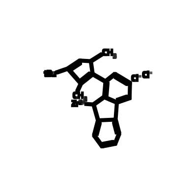 CC1=C(c2cccc3c2[CH]([Zr+2])c2ccccc2-3)C(C)C=C1C(C)(C)C.[Cl-].[Cl-]